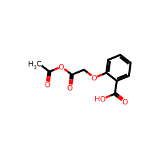 CC(=O)OC(=O)COc1ccccc1C(=O)O